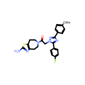 COc1ccc(-c2nc(-c3ccc(F)cc3)n(CC(=O)N3CCc4nc(N)sc4CC3)n2)cc1